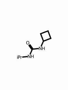 CC(C)NC(=O)NC1CCC1